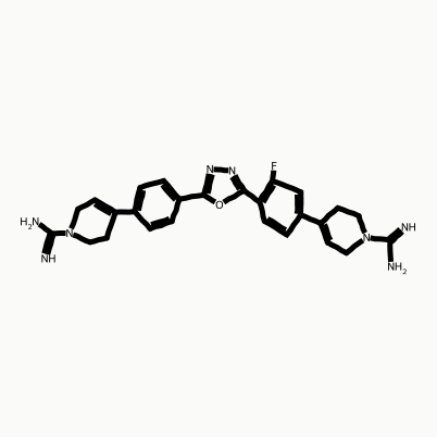 N=C(N)N1CC=C(c2ccc(-c3nnc(-c4ccc(C5=CCN(C(=N)N)CC5)cc4F)o3)cc2)CC1